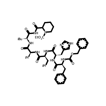 CCOC(=O)N1CC[CH]CC1C(=O)NC(=O)[C@@H](NC(=O)[C@@H](NC(=O)[C@H](CC(C)C)NC(=O)[C@H](Cc1c[nH]cn1)NC(=O)[C@H](Cc1ccccc1)NC(=O)OCc1ccccc1)C(C)C)[C@@H](C)CC